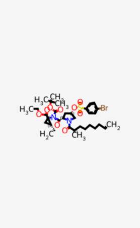 C=CCCCCC[C@H](C)C(=O)N1C[C@@H](OS(=O)(=O)c2ccc(Br)cc2)C[C@H]1C(=O)N(C(=O)OC(C)(C)C)[C@]1(C(=O)OCC)C[C@H]1C=C